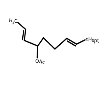 C/C=C/C(CC/C=C/CCCCCCC)OC(C)=O